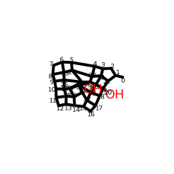 CC1CC2C3C4C5CC6C7C8C9CC%10C%11C%12CC%13C%14C%15(O)C1C21C32C43C65C74C85C%109C%116C7(O)C%13%12C%148C%151C21C78C65C431